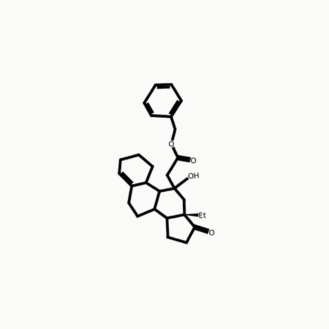 CC[C@]12CC(O)(CC(=O)OCc3ccccc3)C3C4CCCC=C4CCC3C1CCC2=O